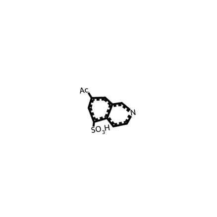 CC(=O)c1cc(S(=O)(=O)O)c2ccncc2c1